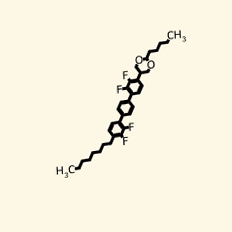 CCCCCCCCc1ccc(-c2ccc(-c3ccc(C4COC(CCCCC)OC4)c(F)c3F)cc2)c(F)c1F